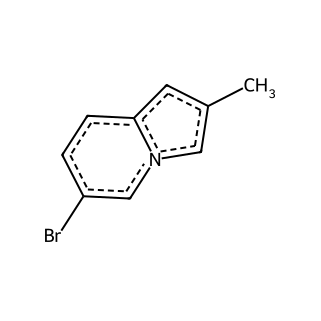 Cc1cc2ccc(Br)cn2c1